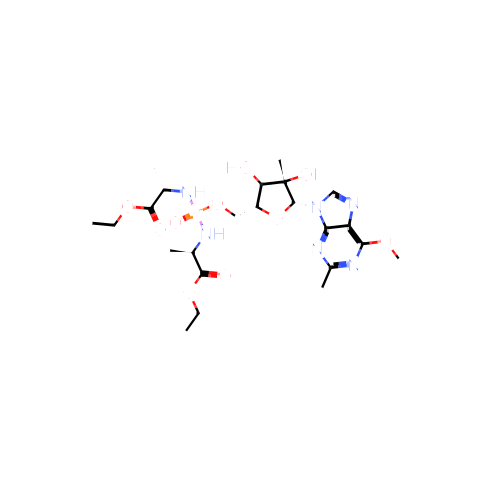 CCOC(=O)[C@H](C)NP(=O)(N[C@H](C)C(=O)OCC)OC[C@H]1O[C@@H](n2cnc3c(OC)nc(C)nc32)[C@@](C)(O)C1O